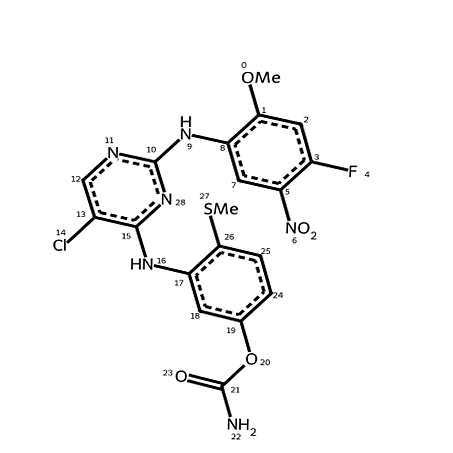 COc1cc(F)c([N+](=O)[O-])cc1Nc1ncc(Cl)c(Nc2cc(OC(N)=O)ccc2SC)n1